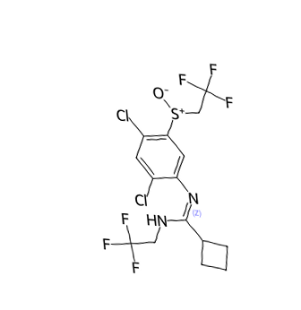 [O-][S+](CC(F)(F)F)c1cc(/N=C(\NCC(F)(F)F)C2CCC2)c(Cl)cc1Cl